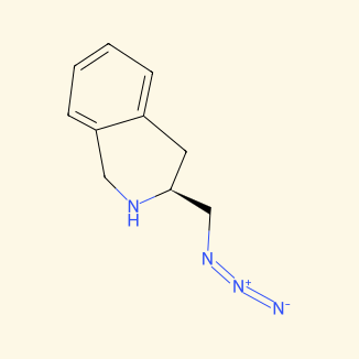 [N-]=[N+]=NC[C@@H]1Cc2ccccc2CN1